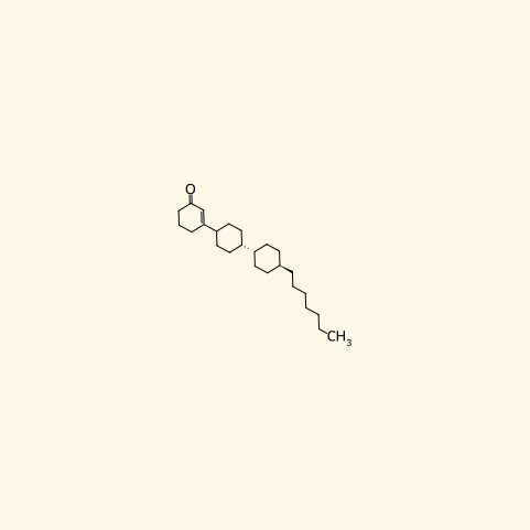 CCCCCCC[C@H]1CC[C@H](C2CCC(C3=CC(=O)CCC3)CC2)CC1